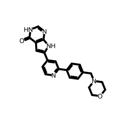 O=c1[nH]cnc2[nH]c(-c3ccnc(-c4ccc(CN5CCOCC5)cc4)c3)cc12